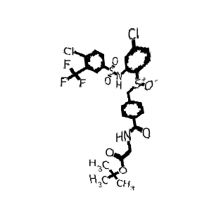 CC(C)(C)OC(=O)CNC(=O)c1ccc(C[S+]([O-])c2ccc(Cl)cc2NS(=O)(=O)c2ccc(Cl)c(C(F)(F)F)c2)cc1